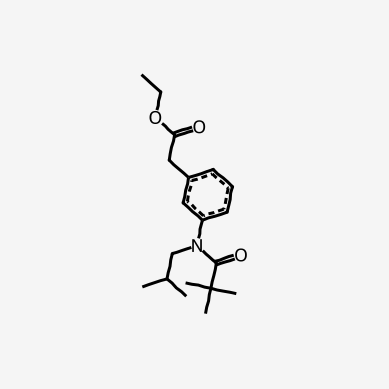 CCOC(=O)Cc1cccc(N(CC(C)C)C(=O)C(C)(C)C)c1